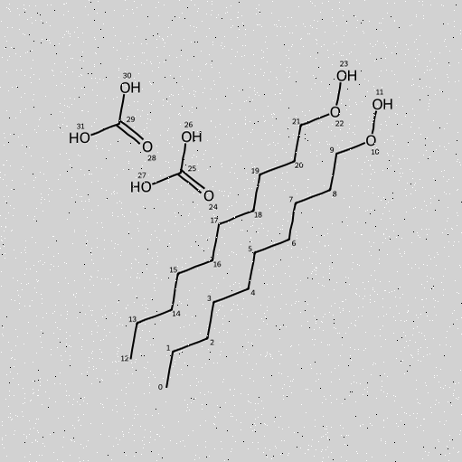 CCCCCCCCCCOO.CCCCCCCCCCOO.O=C(O)O.O=C(O)O